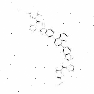 COC(=O)N[C@H](C(=O)N1CCC[C@H]1c1nc2cc(-c3ccc(-c4ccc5[nH]c([C@@H]6CCCN6C(=O)[C@@H](NC(=O)OC)C(C)C)nc5c4)c4ncccc34)ccc2[nH]1)C(C)C